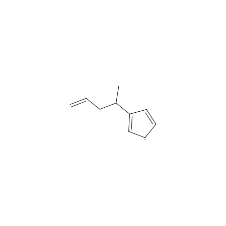 C=CCC(C)C1=C[CH]C=C1